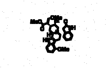 CC[C@@H]1CN2CCc3c([nH]c4cccc(OC)c34)[C@@H]2C[C@@H]1/C(=C\OC)C(=O)OC.O=C1Cc2ccccc2N1